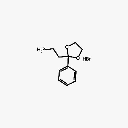 Br.PCCC1(c2ccccc2)OCCO1